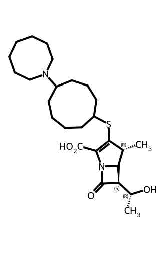 C[C@H]1C(SC2CCCCC(N3CCCCCCC3)CCC2)=C(C(=O)O)N2C(=O)[C@H]([C@@H](C)O)C12